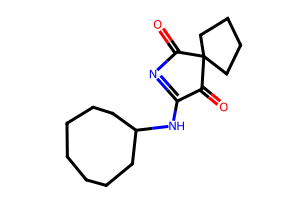 O=C1N=C(NC2CCCCCCC2)C(=O)C12CCCC2